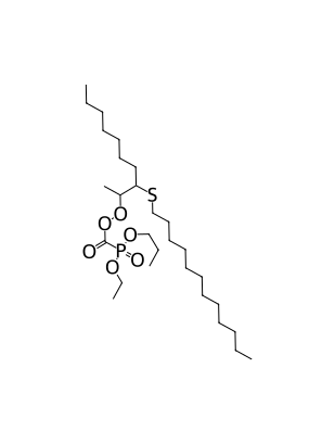 CCCCCCCCCCCCSC(CCCCCCC)C(C)OOC(=O)P(=O)(OCC)OCCC